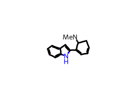 CNC1CC=CC=C1c1cc2ccccc2[nH]1